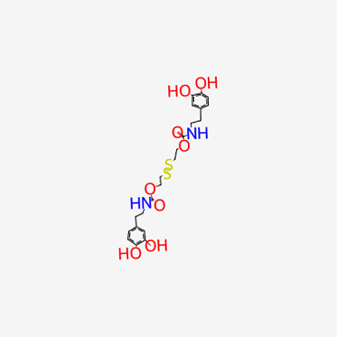 O=C(NCCc1ccc(O)c(O)c1)OCCSSCCOC(=O)NCCc1ccc(O)c(O)c1